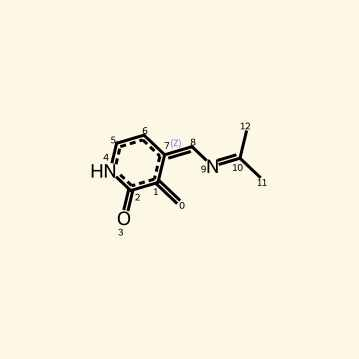 C=c1c(=O)[nH]cc/c1=C/N=C(C)C